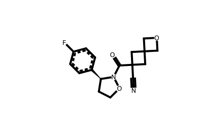 N#CC1(C(=O)N2OCC[C@H]2c2ccc(F)cc2)CC2(COC2)C1